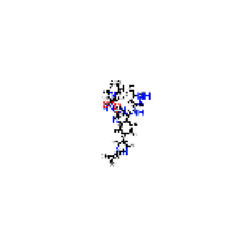 Cc1cc(Nc2nc(NC3CC4CCC(C3)N4C(=O)OC(C)(C)C)nc3cc(-c4cnn(C5CC5)c4)ccc23)n[nH]1